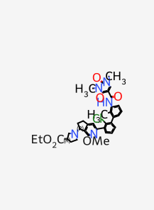 CCOC(=O)[C@@H]1CCN([C@@H]2CCc3cc(-c4cccc(-c5cccc(NC(=O)c6cn(C)c(=O)n(C)c6=O)c5C)c4Cl)nc(OC)c32)C1